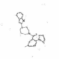 Cc1ccc(-n2nccn2)c(C(=S)N2CCCN(c3nc4ccccc4o3)CC2)c1